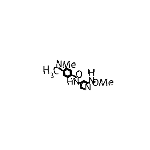 CNC(C)c1ccc(C(=O)Nc2ccnc(NOC)c2)cc1